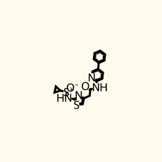 O=C(Cc1csc(N[S+]([O-])C2CC2)n1)Nc1ccc(-c2ccccc2)cn1